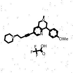 COc1ccc(C2CN(C)Cc3cc(C#CCCN4CCCCC4)cnc32)cc1.O=C(O)C(F)(F)F